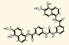 O=C(Nc1cccc(C(=O)Nc2cccc3c(O)c(S(=O)(=O)O)ccc23)c1)Nc1cccc(C(=O)Nc2cccc3c(O)c(S(=O)(=O)O)ccc23)c1